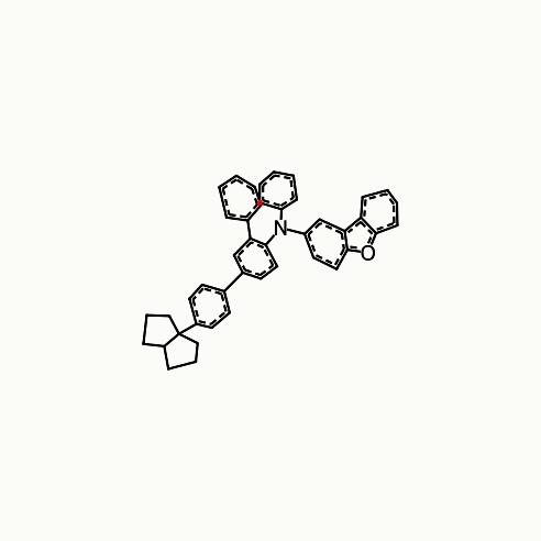 c1ccc(-c2cc(-c3ccc(C45CCCC4CCC5)cc3)ccc2N(c2ccccc2)c2ccc3oc4ccccc4c3c2)cc1